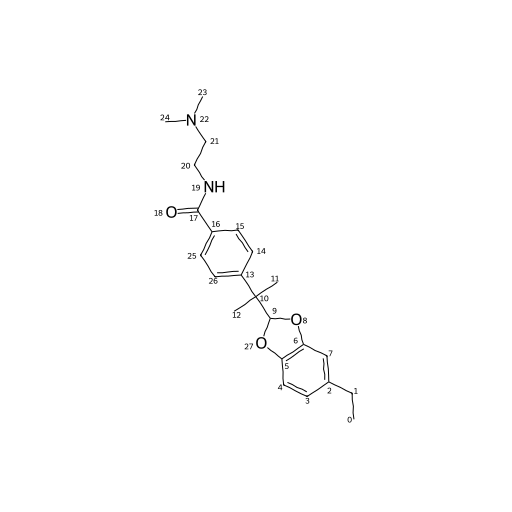 CCc1ccc2c(c1)OC(C(C)(C)c1ccc(C(=O)NCCN(C)C)cc1)O2